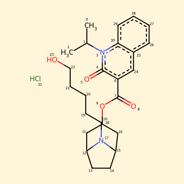 CC(C)n1c(=O)c(C(=O)OC2CC3CCC(C2)N3CCCCCO)cc2ccccc21.Cl